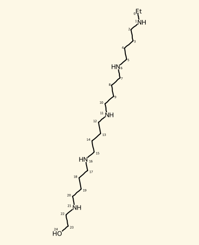 CCNCCCCNCCCCNCCCCNCCCCNCCO